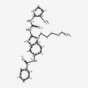 CCOCCCn1c(NC(=O)Nc2sccc2C)nc2cc(NC(=O)c3ccccc3)ccc21